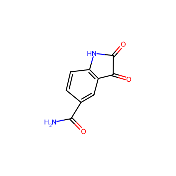 NC(=O)c1ccc2c(c1)C(=O)C(=O)N2